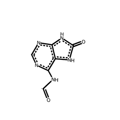 O=[C]Nc1ncnc2[nH]c(=O)[nH]c12